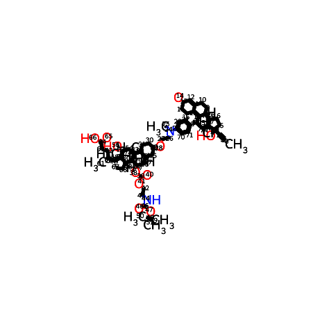 CC#C[C@]1(O)CC[C@H]2[C@@H]3CCC4=CC(=O)CCC4=C3[C@@H](c3ccc(N(C)CCO[C@H]4CC[C@@]5(C)[C@@H](C4)C[C@@H](OC(=O)OCCNC(=O)OC(C)(C)C)[C@@H]4[C@@H]5C[C@H](O)[C@]5(C)[C@@H]([C@H](C)CCC(=O)O)CC[C@@H]45)cc3)C[C@@]21C